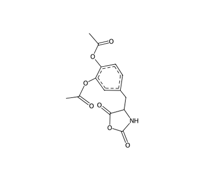 CC(=O)Oc1ccc(CC2NC(=O)OC2=O)cc1OC(C)=O